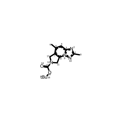 Cc1nc2cc(C)c3c(n2n1)CN(C(=O)OC(C)(C)C)C3